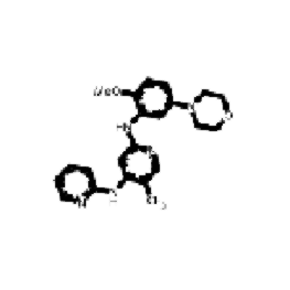 COc1ccc(N2CCOCC2)cc1Nc1cc(Nc2ccccn2)c(C(F)(F)F)cn1